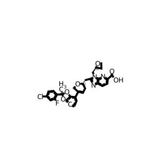 C[C@]1(c2ccc(Cl)cc2F)Oc2cccc(C3=CC[C@@H](Cc4nc5ccc(C(=O)O)nc5n4C[C@@H]4CCO4)OC3)c2O1